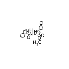 CCOC(=O)C1(Cc2ccc(Cl)cc2)CC(CNC(=O)c2nccc3ccccc23)=NO1